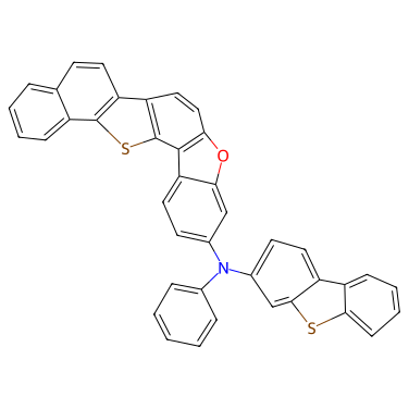 c1ccc(N(c2ccc3c(c2)oc2ccc4c5ccc6ccccc6c5sc4c23)c2ccc3c(c2)sc2ccccc23)cc1